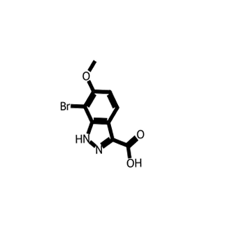 COc1ccc2c(C(=O)O)n[nH]c2c1Br